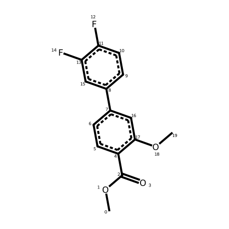 COC(=O)c1ccc(-c2ccc(F)c(F)c2)cc1OC